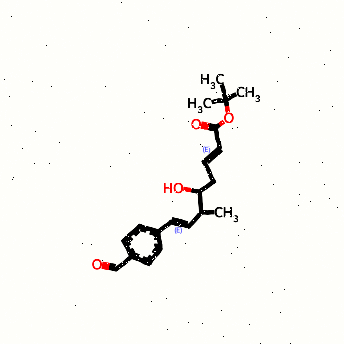 CC(/C=C/c1ccc(C=O)cc1)C(O)C/C=C/C(=O)OC(C)(C)C